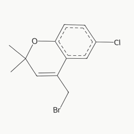 CC1(C)C=C(CBr)c2cc(Cl)ccc2O1